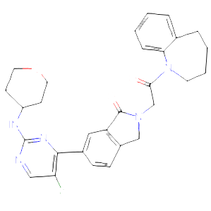 O=C1c2cc(-c3nc(NC4CCOCC4)ncc3Cl)ccc2CN1CC(=O)N1CCCCc2ccccc21